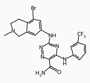 CN1CCc2c(Br)cc(Nc3nnc(C(N)=O)c(Nc4cccc(C(F)(F)F)c4)n3)cc2C1